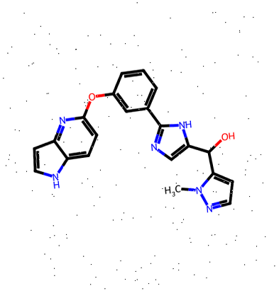 Cn1nccc1C(O)c1cnc(-c2cccc(Oc3ccc4[nH]ccc4n3)c2)[nH]1